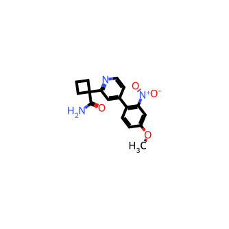 COc1ccc(-c2ccnc(C3(C(N)=O)CCC3)c2)c([N+](=O)[O-])c1